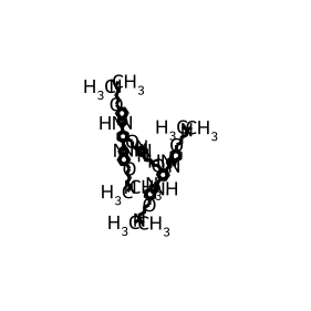 CN(C)CCCOc1ccc2nc(-c3ccc(-c4nc5ccc(OCCCN(C)C)cc5[nH]4)c(OCCCn4cc(COc5cc(-c6nc7ccc(OCCCN(C)C)cc7[nH]6)ccc5-c5nc6ccc(OCCCN(C)C)cc6[nH]5)nn4)c3)[nH]c2c1